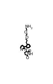 NCCOCCOCCCc1cccc2c1c1cccnc1n2C1CCC(=O)NC1=O